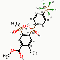 COC(=O)c1cc(S(C)(=O)=O)c(S(=O)(=O)c2ccc(S(F)(F)(F)(F)F)cc2)cc1C